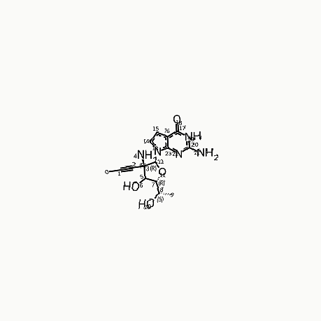 CC#C[C@@]1(N)C(O)[C@@H]([C@H](C)O)O[C@H]1n1ccc2c(=O)[nH]c(N)nc21